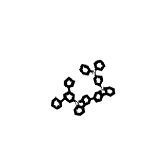 c1ccc(-c2cc(-c3ccccc3)cc(-n3c4ccccc4c4cc(-c5ccc6c7ccccc7n(-c7ccc(N(c8ccccc8)c8ccccc8)cc7)c6c5)ccc43)c2)cc1